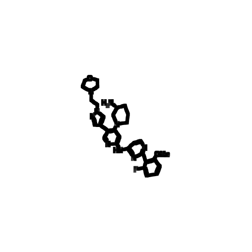 COc1cccc(F)c1-c1nccc(Nc2cc(N3CCC[C@H](N)C3)c(-c3cnn(CCN4CCOCC4)c3)cn2)n1